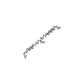 CO/C=C\OOOOOOCCOCC(O)COCCOOOOOO/C=C\OC